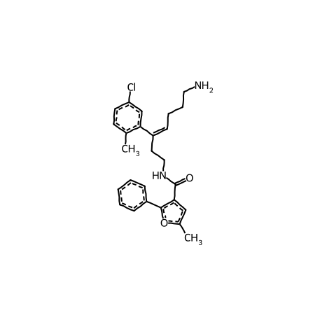 Cc1cc(C(=O)NCC/C(=C/CCCN)c2cc(Cl)ccc2C)c(-c2ccccc2)o1